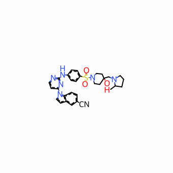 CC1CCCN1CC1(O)CCN(S(=O)(=O)c2ccc(Nc3nccc(-n4ccc5cc(C#N)ccc54)n3)cc2)CC1